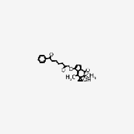 CC1=C2C(OCC(=O)CCCCC(=O)c3ccccc3)=CC=C2C(=O)[C@](C)(O)C12CC2